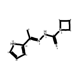 C/C(=N\NC(=S)N1CCC1)c1ccc[nH]1